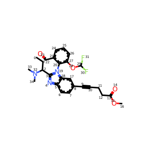 CCC(c1nc2ccc(C#CCCC(=O)OC)cc2n1-c1c(C=O)cccc1OC(F)F)N(C)C